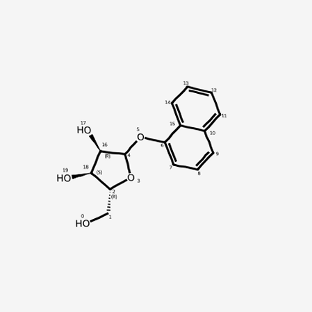 OC[C@H]1OC(Oc2cccc3ccccc23)[C@H](O)[C@@H]1O